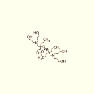 CCCC(CCC)(CN(CCCO)CCCO)O[PH](=O)OC(CCC)(CCC)CN(CCCO)CCCO